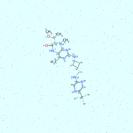 COC(C)[C@H]1C(=O)Nc2c(C)nc(N[C@H]3C[C@@H](CNc4cnc(C(F)(F)F)cn4)C3)nc2N1C